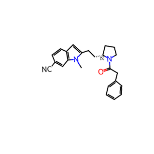 Cn1c(CC[C@@H]2CCCN2C(=O)Cc2ccccc2)cc2ccc(C#N)cc21